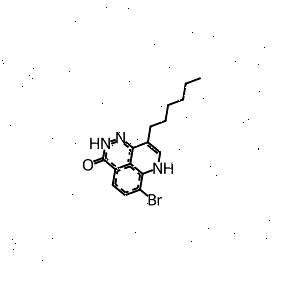 CCCCCCC1=CNc2c(Br)ccc3c(=O)[nH]nc1c23